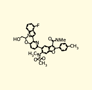 CNC(=O)c1c(-c2ccc(C)cc2)oc2cc(N(C)S(C)(=O)=O)c(-c3ccc4c(n3)-c3cc5c(F)cccc5n3C(CO)O4)cc12